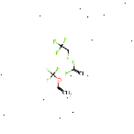 C=C(F)F.C=COC(F)(F)F.FCC(F)(F)F